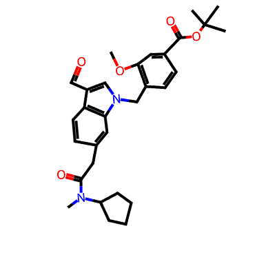 COc1cc(C(=O)OC(C)(C)C)ccc1Cn1cc(C=O)c2ccc(CC(=O)N(C)C3CCCC3)cc21